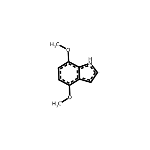 COc1ccc(OC)c2[nH][c]cc12